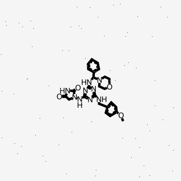 COc1ccc(CNc2nc(NC(c3ccccc3)N3CCOCC3)nc(NN3CC(=O)NC3=O)n2)cc1